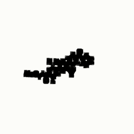 COCCC(=O)N1CCN(c2nc(C3CC3)c(N3CCN(C(=O)c4ccccc4)CC3)cc2N)C[C@H]1C